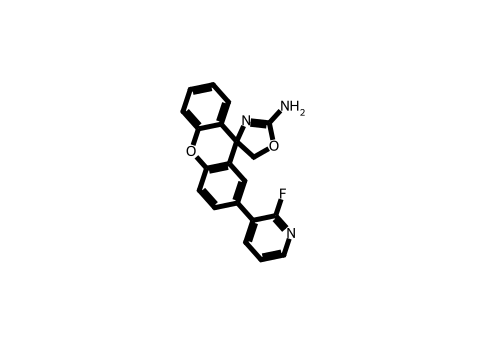 NC1=NC2(CO1)c1ccccc1Oc1ccc(-c3cccnc3F)cc12